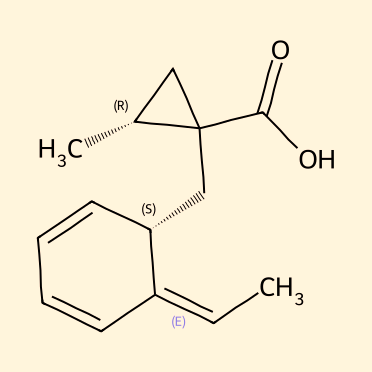 C/C=C1/C=CC=C[C@@H]1CC1(C(=O)O)C[C@H]1C